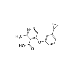 Cc1nncc(Oc2cccc(C3CC3)c2)c1C(=O)O